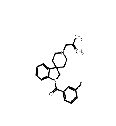 C=C(C)CN1CCC2(CC1)CN(C(=O)c1cccc(F)c1)c1ccccc12